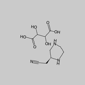 N#CC[C@H]1CNCCN1.O=C(O)C(O)C(O)C(=O)O